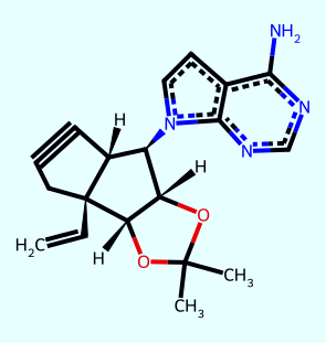 C=C[C@@]12CC#C[C@@H]1[C@@H](n1ccc3c(N)ncnc31)[C@@H]1OC(C)(C)O[C@@H]12